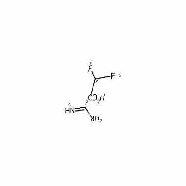 N=CN.O=C(O)C(F)F